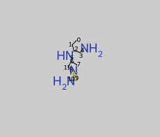 CCC(CN)NC1CN(SN)C1